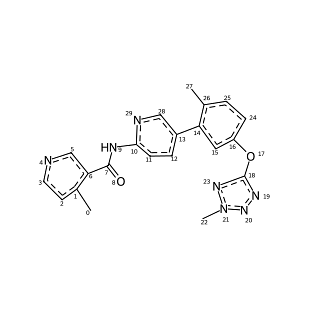 Cc1ccncc1C(=O)Nc1ccc(-c2cc(Oc3nnn(C)n3)ccc2C)cn1